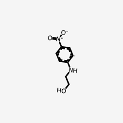 O=[N+]([O-])c1c[c]c(NCCO)cc1